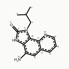 CC(C)Cn1c(=O)[nH]c2c(N)cc3cccnc3c21